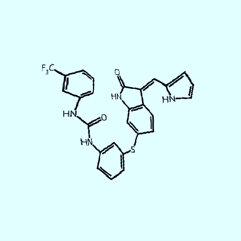 O=C(Nc1cccc(Sc2ccc3c(c2)NC(=O)C3=Cc2ccc[nH]2)c1)Nc1cccc(C(F)(F)F)c1